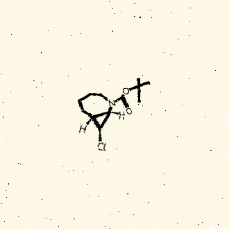 CC(C)(C)OC(=O)N1CCCC[C@H]2[C@H](Cl)[C@H]21